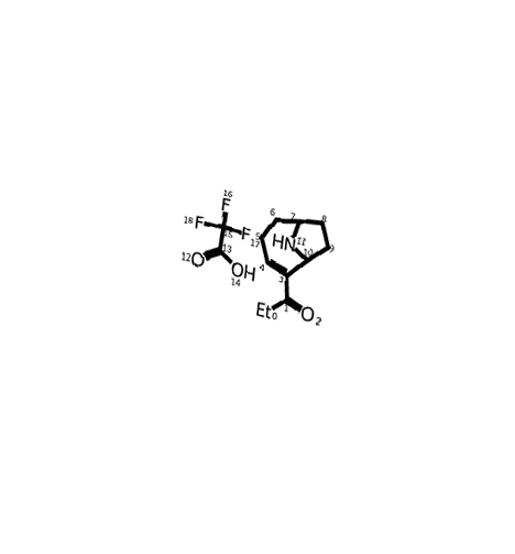 CCC(=O)C1=CCCC2CCC1N2.O=C(O)C(F)(F)F